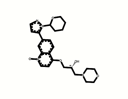 [O-][n+]1ccc(OC[C@H](O)CN2CCOCC2)c2ccc(-c3ccnn3C3CCCCO3)cc21